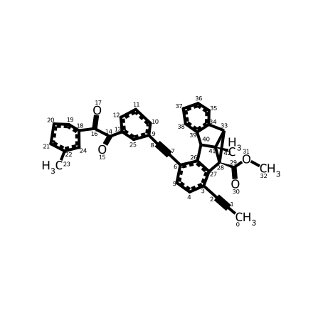 CC#Cc1ccc(C#Cc2cccc(C(=O)C(=O)c3cccc(C)c3)c2)c2c1[C@@]1(C(=O)OC)C3c4ccccc4C2[C@]31C